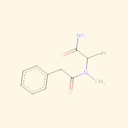 CC(C)C(C(N)=O)N(C)C(=O)Cc1ccccc1